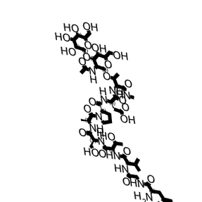 CNC(=O)[C@@H](NC(=O)[C@H](CC(=O)O)NC(=O)[C@@H]1CCCN1C(=O)[C@H](C)NC(=O)[C@H](CO)NC(=O)[C@@H](NC(=O)[C@@H](NC(=O)CNC(=O)[C@@H](N)Cc1cnc[nH]1)C(C)C)C(C)O)C(C)O[C@H]1OC(CO)[C@H](O)[C@H](O[C@@H]2OC(CO)[C@H](O)C(O)[C@@H]2O)C1NC(C)=O